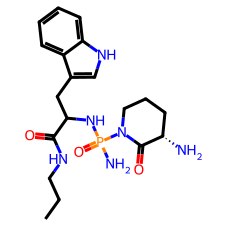 CCCNC(=O)C(Cc1c[nH]c2ccccc12)NP(N)(=O)N1CCC[C@H](N)C1=O